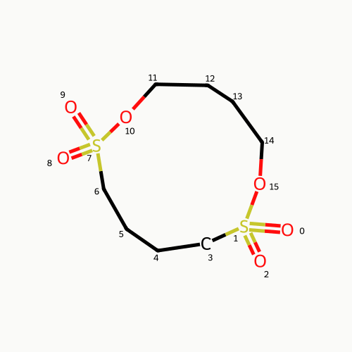 O=S1(=O)CCCCS(=O)(=O)OCCCCO1